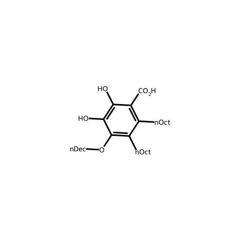 CCCCCCCCCCOc1c(O)c(O)c(C(=O)O)c(CCCCCCCC)c1CCCCCCCC